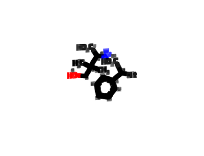 CC(C)(CO)C(N)C(=O)O.CCC(C(=O)O)c1ccccc1